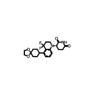 O=C1CC[C@@H](N2CCC(F)(F)c3c(C4CCC5(CC4)OCCO5)cccc32)C(=O)N1